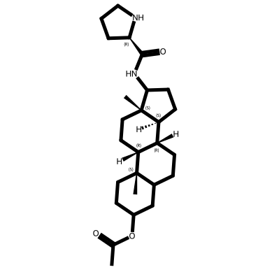 CC(=O)OC1CC[C@@]2(C)C(CC[C@@H]3[C@H]2CC[C@]2(C)C(NC(=O)[C@H]4CCCN4)CC[C@@H]32)C1